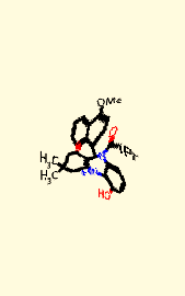 COc1ccc(C2C3=C(CC(C)(C)CC3=O)Nc3c(O)cccc3N2C(=O)C(C)C)c2ccccc12